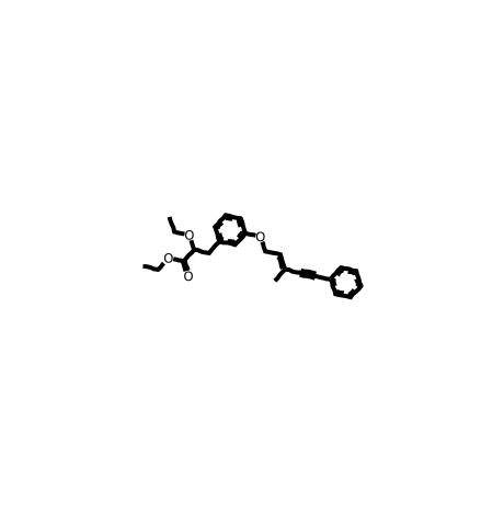 CCOC(=O)C(Cc1cccc(OC/C=C(\C)C#Cc2ccccc2)c1)OCC